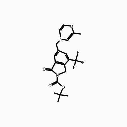 CC1=CN(Cc2cc3c(c(C(F)(F)F)c2)CN(C(=O)OC(C)(C)C)C3=O)C=CO1